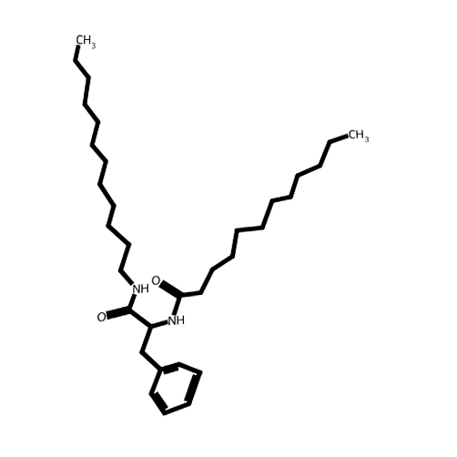 CCCCCCCCCCCCNC(=O)C(Cc1ccccc1)NC(=O)CCCCCCCCCCC